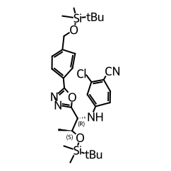 C[C@H](O[Si](C)(C)C(C)(C)C)[C@@H](Nc1ccc(C#N)c(Cl)c1)c1nnc(-c2ccc(CO[Si](C)(C)C(C)(C)C)cc2)o1